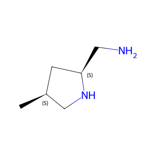 C[C@@H]1CN[C@H](CN)C1